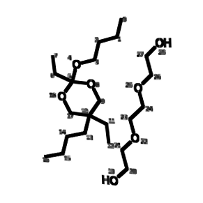 CCCCOC1(CC)OCC(CC)(CCCC)CO1.OCCOCCOCCO